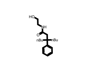 CCCCC(CCCC)(CC(=O)NCCO)c1ccccc1